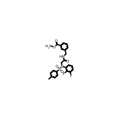 Cc1ccc(S(=O)(=O)N(CC(=O)NCc2cccc(C(=O)ON)c2)c2cccc(F)c2F)cc1